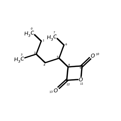 CCC(C)CC(CC)C1C(=O)OC1=O